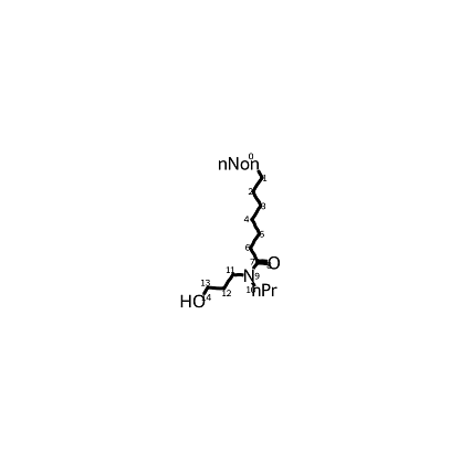 CCCCCCCCCCCCCCCC(=O)N(CCC)CCCO